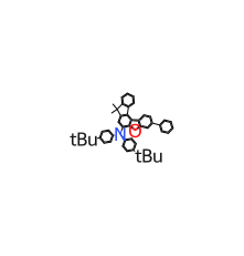 CC(C)(C)c1ccc(N(c2ccc(C(C)(C)C)cc2)c2cc3c(c4c2oc2cc(-c5ccccc5)ccc24)-c2ccccc2C3(C)C)cc1